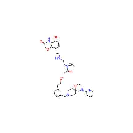 CN(CCNCCc1ccc(O)c2c1OCC(=O)N2)C(=O)CCOCCc1cccc(CN2CCC3(CC2)CN(c2ccccn2)CCO3)c1